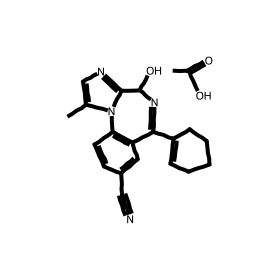 CC(=O)O.Cc1cnc2n1-c1ccc(C#N)cc1C(C1=CCCCC1)=NC2O